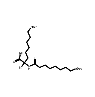 CCCCCCCCCCCCCCCCCC(=O)NC(CC)(CCCCCCCCCCCCCCCC)C(N)=O